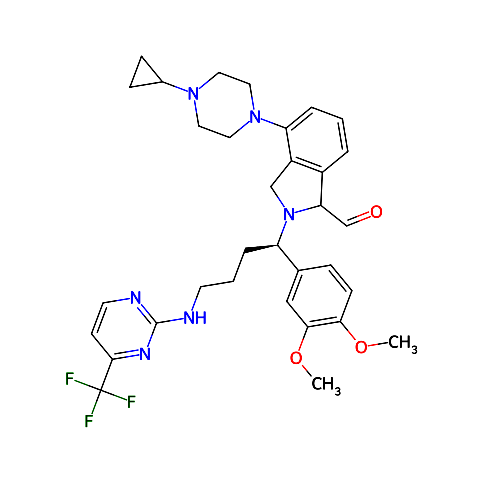 COc1ccc([C@@H](CCCNc2nccc(C(F)(F)F)n2)N2Cc3c(cccc3N3CCN(C4CC4)CC3)C2C=O)cc1OC